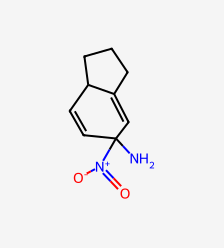 NC1([N+](=O)[O-])C=CC2CCCC2=C1